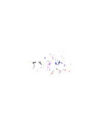 CN(C)C(=O)C(=O)N(C)C12CCC(CCn3c1nc(C(=O)NCc1ccc(F)cc1)c(O)c3=O)C2